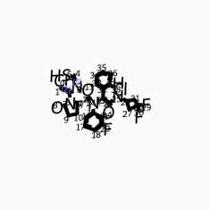 C/C=C(\N=C/S)N1C(=O)CC[C@H]1C(=O)N(c1cccc(F)c1)[C@H](C(=O)NC1CC(F)(F)C1)c1ccccc1Cl